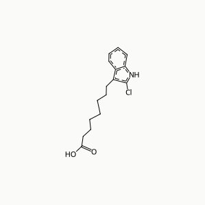 O=C(O)CCCCCCCc1c(Cl)[nH]c2ccccc12